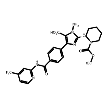 CC(C)(C)OC(=O)N1CCCC[C@H]1c1nc(-c2ccc(C(=O)Nc3cc(C(F)(F)F)ccn3)cc2)c(C(=O)O)n1N